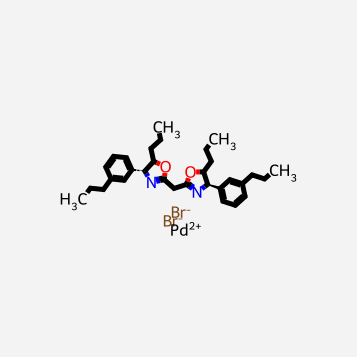 CCCc1cccc([C@H]2N=C(CC3=N[C@H](c4cccc(CCC)c4)C(CCC)O3)OC2CCC)c1.[Br-].[Br-].[Pd+2]